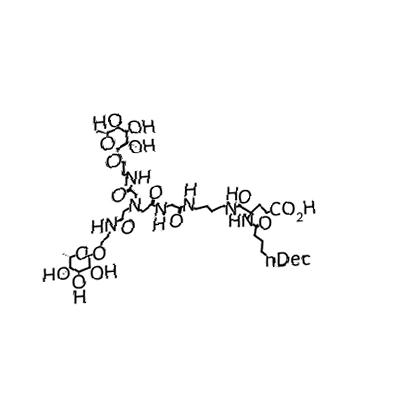 CCCCCCCCCCCCCC(=O)NC(CCC(=O)O)C(=O)NCCCCNC(=O)CNC(=O)CN(CC(=O)NCCO[C@@H]1O[C@@H](C)[C@@H](O)[C@@H](O)[C@@H]1O)CC(=O)NCCO[C@@H]1O[C@@H](C)[C@@H](O)[C@@H](O)[C@@H]1O